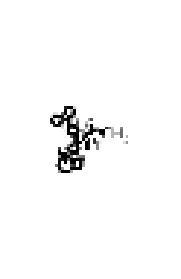 C=CC/C(C)=C/C=C(\C(C)C)N(c1ccc(N2C(=C)/C=C\C=C/Cc3ccccc32)cc1)c1ccc(-n2c3ccccc3c3ccccc32)cc1